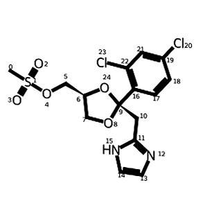 CS(=O)(=O)OC[C@@H]1CO[C@@](Cc2ncc[nH]2)(c2ccc(Cl)cc2Cl)O1